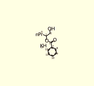 CCCC(CO)OC(=O)c1ccccc1.[KH]